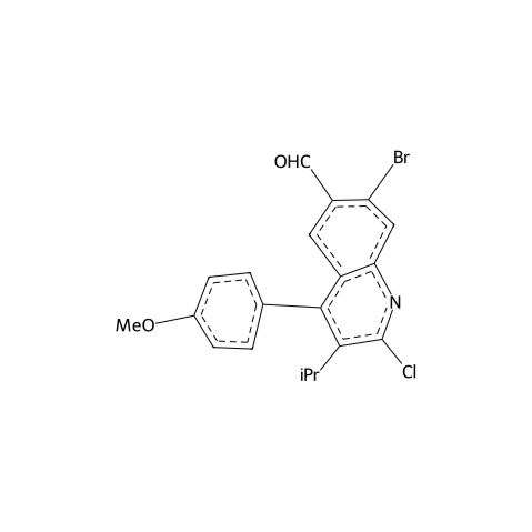 COc1ccc(-c2c(C(C)C)c(Cl)nc3cc(Br)c(C=O)cc23)cc1